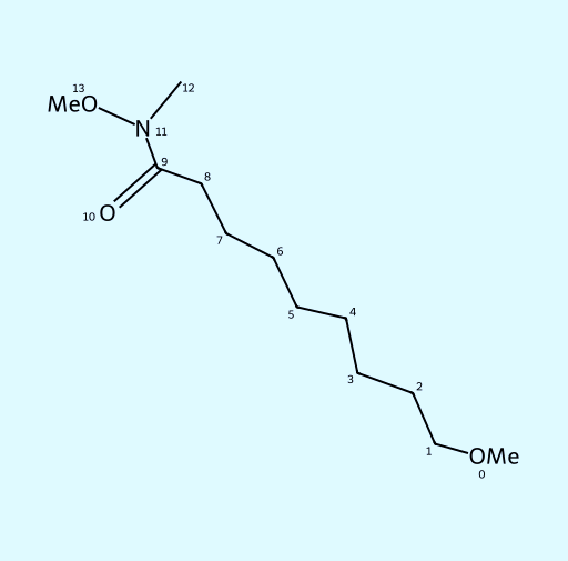 COCCCCCCCCC(=O)N(C)OC